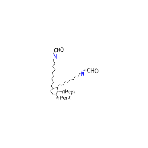 CCCCCCCC1C(CCCCC)CCC(CCCCCCCCCN=CC=O)C1CCCCCCCCCN=CC=O